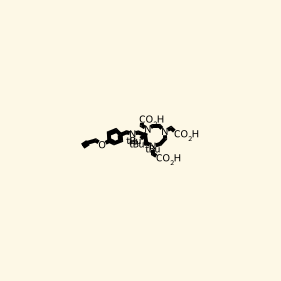 C#CCOc1ccc(CNCC2(C(C)(C)C)N(CC(=O)O)CCN(CC(=O)O)CCN(CC(=O)O)C2(C(C)(C)C)C(C)(C)C)cc1